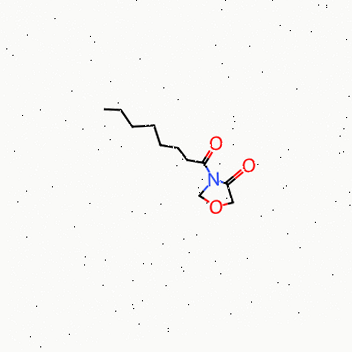 CCCCCCCC(=O)N1COCC1=O